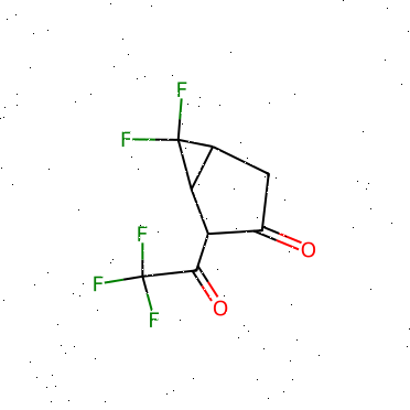 O=C1CC2C(C1C(=O)C(F)(F)F)C2(F)F